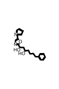 OC(CCCCc1ccccc1)CC(O)c1ncc(-c2ccccn2)o1